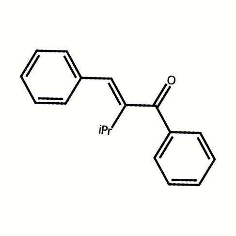 CC(C)/C(=C\c1ccccc1)C(=O)c1ccccc1